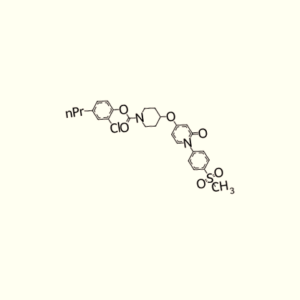 CCCc1ccc(OC(=O)N2CCC(Oc3ccn(-c4ccc(S(C)(=O)=O)cc4)c(=O)c3)CC2)c(Cl)c1